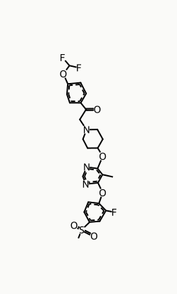 Cc1c(Oc2ccc(S(C)(=O)=O)cc2F)ncnc1OC1CCN(CC(=O)c2ccc(OC(F)F)cc2)CC1